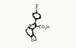 O=C(O)c1c(-c2ccc(F)cc2)nn2ccc3c(c12)CCO3